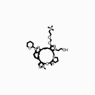 CC1Oc2c(cnn2C)-c2ccc3c(c2)c(nn3C2CCCCO2)/C=C\c2c(OCOCC[Si](C)(C)C)nn(CCO)c2CN2CCC[C@H]12